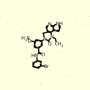 CCN1C(=O)N(c2cc(OC)cc(C(=O)Nc3cccc(Br)c3)c2)Cc2cnc3[nH]ccc3c21